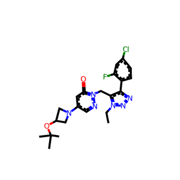 CCn1nnc(-c2ccc(Cl)cc2F)c1Cn1ncc(N2CC(OC(C)(C)C)C2)cc1=O